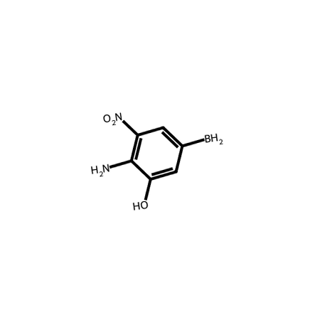 Bc1cc(O)c(N)c([N+](=O)[O-])c1